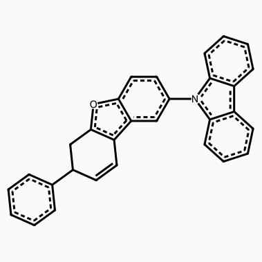 C1=CC(c2ccccc2)Cc2oc3ccc(-n4c5ccccc5c5ccccc54)cc3c21